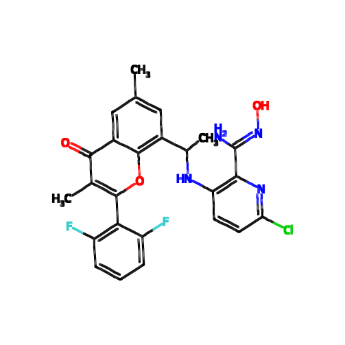 Cc1cc(C(C)Nc2ccc(Cl)nc2C(N)=NO)c2oc(-c3c(F)cccc3F)c(C)c(=O)c2c1